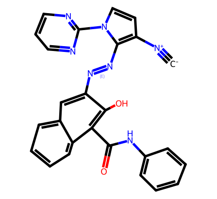 [C-]#[N+]c1ccn(-c2ncccn2)c1/N=N/c1cc2ccccc2c(C(=O)Nc2ccccc2)c1O